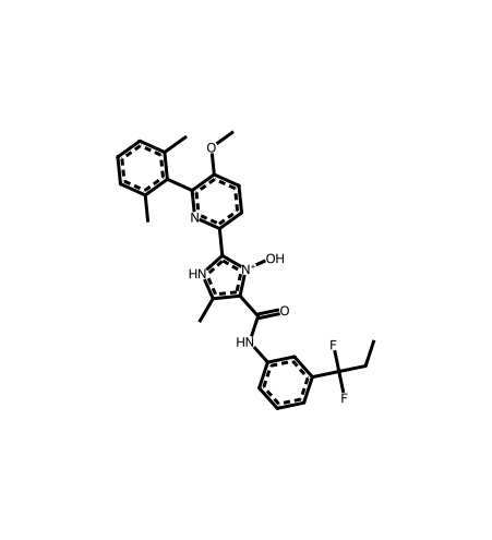 CCC(F)(F)c1cccc(NC(=O)c2c(C)[nH]c(-c3ccc(OC)c(-c4c(C)cccc4C)n3)[n+]2O)c1